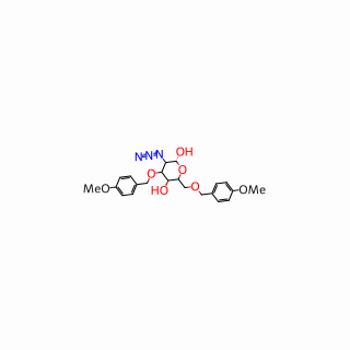 COc1ccc(COCC2O[C@@H](O)C(N=[N+]=[N-])C(OCc3ccc(OC)cc3)[C@@H]2O)cc1